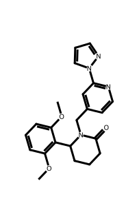 COc1cccc(OC)c1C1CCCC(=O)N1Cc1ccnc(-n2cccn2)c1